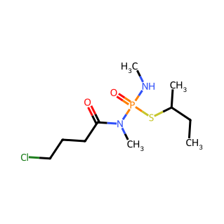 CCC(C)SP(=O)(NC)N(C)C(=O)CCCCl